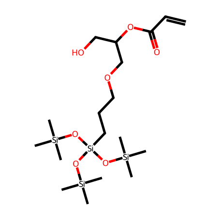 C=CC(=O)OC(CO)COCCC[Si](O[Si](C)(C)C)(O[Si](C)(C)C)O[Si](C)(C)C